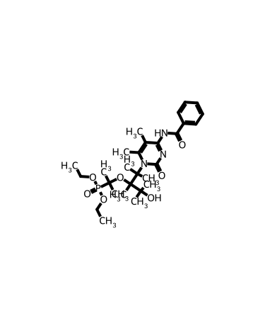 CCOP(=O)(OCC)C(C)(C)OC(C)(C(C)(C)O)C(C)(C)n1c(C)c(C)c(NC(=O)c2ccccc2)nc1=O